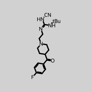 CC(C)(C)N/C(=N\CCN1CCC(C(=O)c2ccc(F)cc2)CC1)NC#N